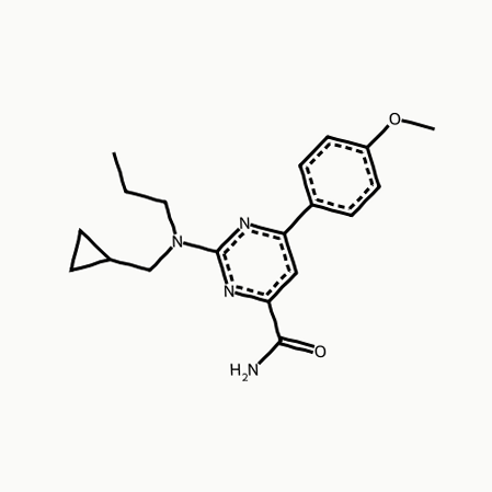 CCCN(CC1CC1)c1nc(C(N)=O)cc(-c2ccc(OC)cc2)n1